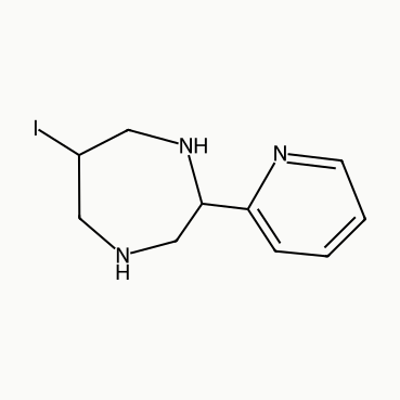 IC1CNCC(c2ccccn2)NC1